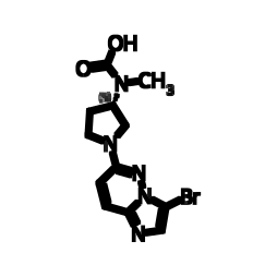 CN(C(=O)O)[C@H]1CCN(c2ccc3ncc(Br)n3n2)C1